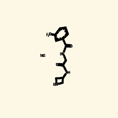 Cl.O=C(CNC(=O)c1cccc(C(F)(F)F)c1)NC1CNC1